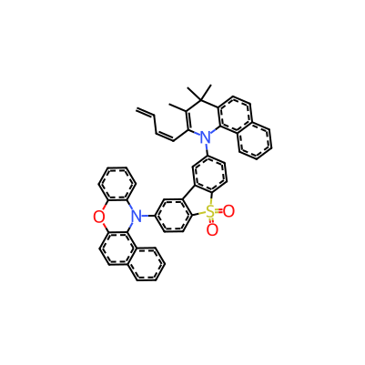 C=C/C=C\C1=C(C)C(C)(C)c2ccc3ccccc3c2N1c1ccc2c(c1)-c1cc(N3c4ccccc4Oc4ccc5ccccc5c43)ccc1S2(=O)=O